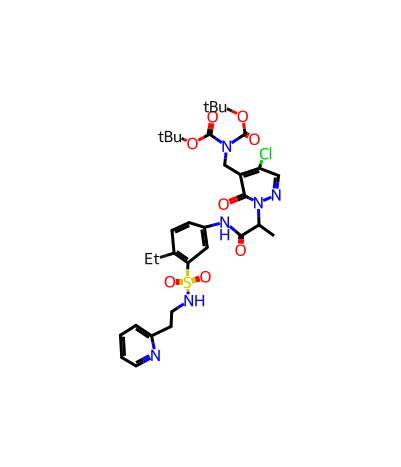 CCc1ccc(NC(=O)C(C)n2ncc(Cl)c(CN(C(=O)OC(C)(C)C)C(=O)OC(C)(C)C)c2=O)cc1S(=O)(=O)NCCc1ccccn1